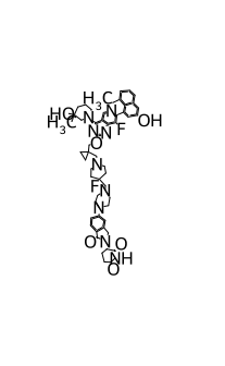 CCc1cccc2cc(O)cc(-c3ncc4c(N5CCC[C@@](C)(O)C5)nc(OCC5(CN6CCC(F)(CN7CCN(c8ccc9c(c8)CN([C@H]8CCC(=O)NC8=O)C9=O)CC7)CC6)CC5)nc4c3F)c12